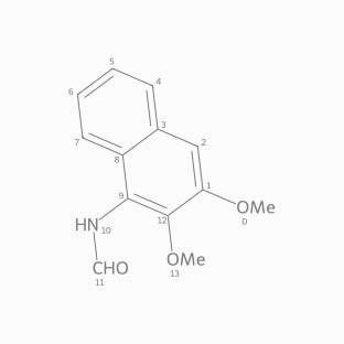 COc1cc2ccccc2c(NC=O)c1OC